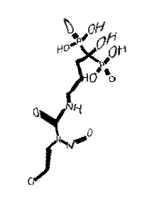 O=NN(CCCl)C(=O)NCCCC(O)(P(=O)(O)O)P(=O)(O)O